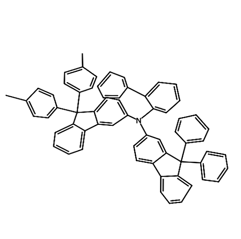 Cc1ccc(C2(c3ccc(C)cc3)c3ccccc3-c3cc(N(c4ccc5c(c4)C(c4ccccc4)(c4ccccc4)c4ccccc4-5)c4ccccc4-c4ccccc4)ccc32)cc1